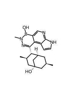 C[C@@H]1C[C@H]2C[C@@](O)(C1)C[C@@H](C)[C@@H]2C1=NN(C)B(O)c2cnc3[nH]ccc3c21